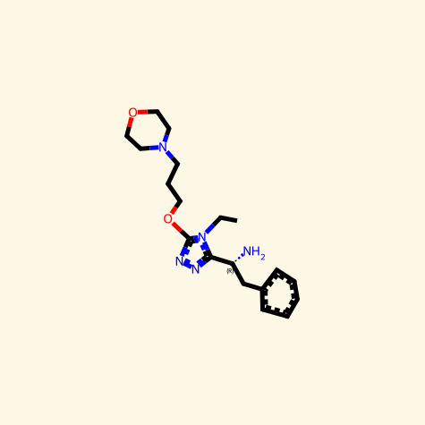 CCn1c(OCCCN2CCOCC2)nnc1[C@H](N)Cc1ccccc1